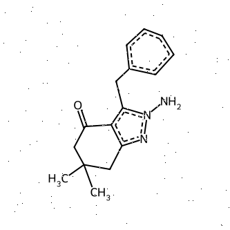 CC1(C)CC(=O)c2c(nn(N)c2Cc2ccccc2)C1